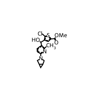 COC(=O)c1cc(C(O)c2ccc(N3CC4CC4C3)nc2C)c(Cl)s1